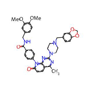 COc1ccc(CNC(=O)c2ccc(-n3c(=O)ccc4c(C)nc(N5CCN(Cc6ccc7c(c6)OCO7)CC5)nc43)cc2)cc1OC